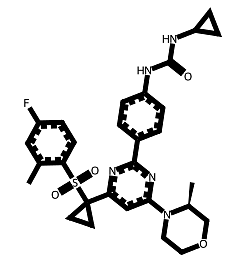 Cc1cc(F)ccc1S(=O)(=O)C1(c2cc(N3CCOC[C@@H]3C)nc(-c3ccc(NC(=O)NC4CC4)cc3)n2)CC1